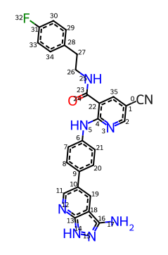 N#Cc1cnc(Nc2ccc(-c3cnc4[nH]nc(N)c4c3)cc2)c(C(=O)NCCc2ccc(F)cc2)c1